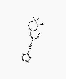 CC1(C)CCc2nc(C#Cc3cnco3)ccc2C1=O